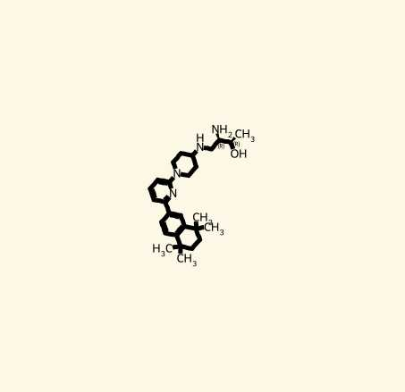 C[C@@H](O)[C@H](N)CNC1CCN(c2cccc(-c3ccc4c(c3)C(C)(C)CCC4(C)C)n2)CC1